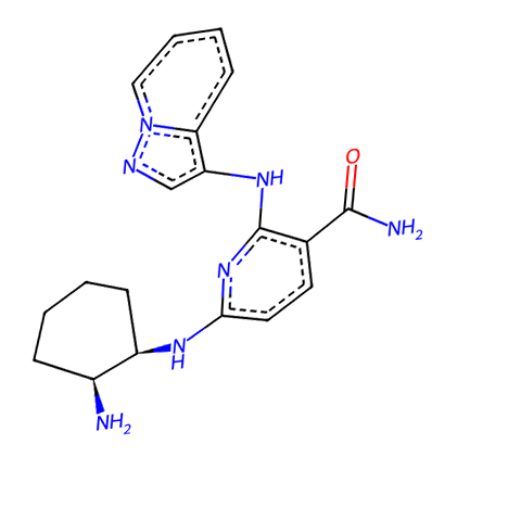 NC(=O)c1ccc(N[C@@H]2CCCC[C@@H]2N)nc1Nc1cnn2ccccc12